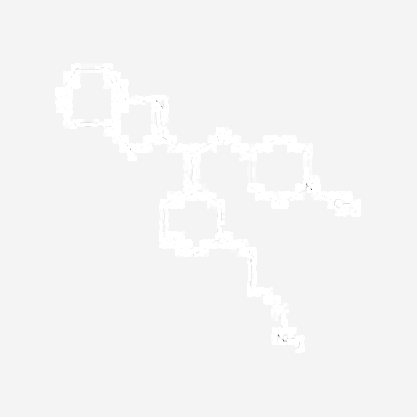 CN1CCC(OC(c2cccc(SCCN)c2)c2nc3ccccc3s2)CC1